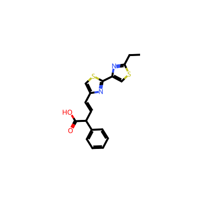 CCc1nc(-c2nc(C=CC(C(=O)O)c3ccccc3)cs2)cs1